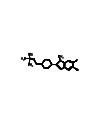 Cn1c(C2CCC(CO[Si](C)(C)C(C)(C)C)CC2)cc2cc(Br)c(F)cc21